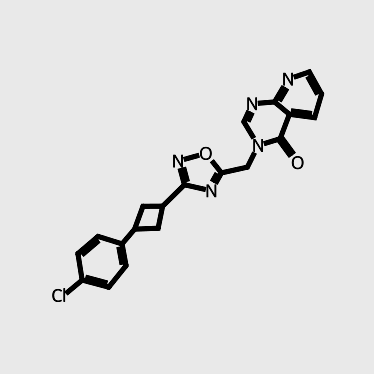 O=c1c2cccnc2ncn1Cc1nc(C2CC(c3ccc(Cl)cc3)C2)no1